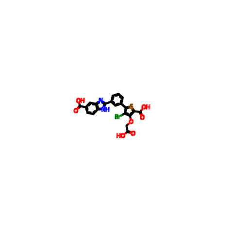 O=C(O)COc1c(C(=O)O)sc(-c2cccc(-c3nc4cc(C(=O)O)ccc4[nH]3)c2)c1Br